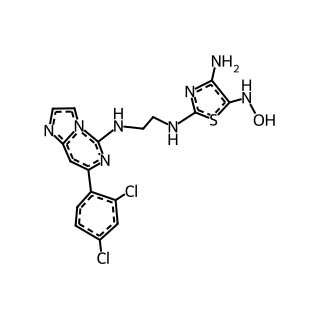 Nc1nc(NCCNc2nc(-c3ccc(Cl)cc3Cl)cc3nccn23)sc1NO